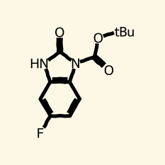 CC(C)(C)OC(=O)n1c(=O)[nH]c2cc(F)ccc21